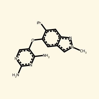 CC(C)c1cc2nn(C)cc2cc1Oc1cnc(N)nc1N